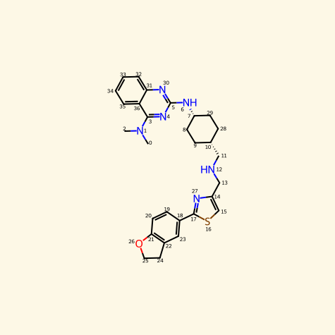 CN(C)c1nc(N[C@H]2CC[C@@H](CNCc3csc(-c4ccc5c(c4)CCO5)n3)CC2)nc2ccccc12